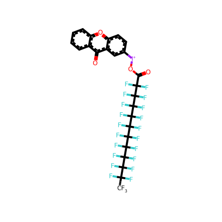 O=C(O[I+]c1ccc2oc3ccccc3c(=O)c2c1)C(F)(F)C(F)(F)C(F)(F)C(F)(F)C(F)(F)C(F)(F)C(F)(F)C(F)(F)C(F)(F)C(F)(F)C(F)(F)F